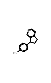 N#Cc1ccc(C2CCc3ccncc32)cc1